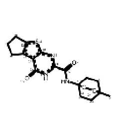 CC12CCC(NC(=O)c3nc4sc5c(c4c(=O)[nH]3)CCC5)(CC1)CC2